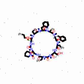 CC(C)CCOC[C@H]1NC(=O)N(C)C(=O)[C@@H](C(=O)N2CCCCC2)NC(=O)C(CC(C)C)N(C)C(=O)N(C)C(=O)C([C@@H](C)O)NC(=O)C(CC(C)C)N(C)C(=O)[C@@H](Cc2ccccc2)N(C)C(=O)C(C(C)C)NC(=O)C(Cc2ccccc2)N(C)C(=O)C(CC(C)C)N(C)C1=O